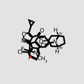 CN1c2cc(N3[C@@H]4CC[C@H]3C[C@H](OC(=O)c3c(-c5c(Cl)cccc5Cl)noc3C3CC3)C4)ccc2C(=O)C1(F)F